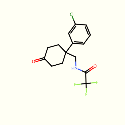 O=C1CCC(CNC(=O)C(F)(F)F)(c2cccc(Cl)c2)CC1